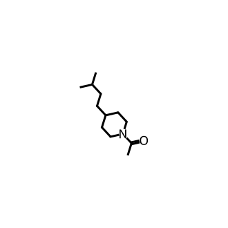 CC(=O)N1CCC(CCC(C)C)CC1